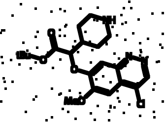 COc1cc2c(Cl)cnnc2cc1OC(C(=O)OC(C)(C)C)C1CCNCC1